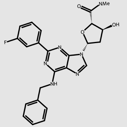 CNC(=O)[C@H]1O[C@@H](n2cnc3c(NCc4ccccc4)nc(-c4cccc(F)c4)nc32)C[C@@H]1O